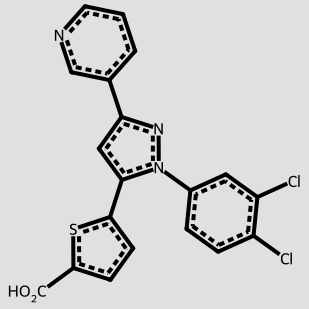 O=C(O)c1ccc(-c2cc(-c3cccnc3)nn2-c2ccc(Cl)c(Cl)c2)s1